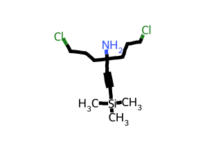 C[Si](C)(C)C#CC(N)(CCCCl)CCCCl